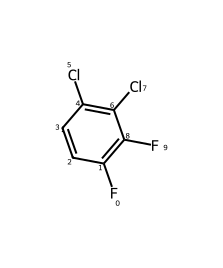 Fc1c[c]c(Cl)c(Cl)c1F